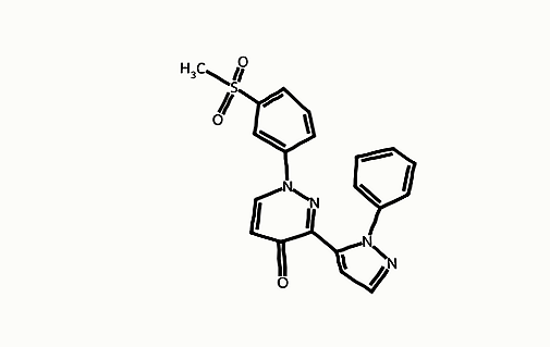 CS(=O)(=O)c1cccc(-n2ccc(=O)c(-c3ccnn3-c3ccccc3)n2)c1